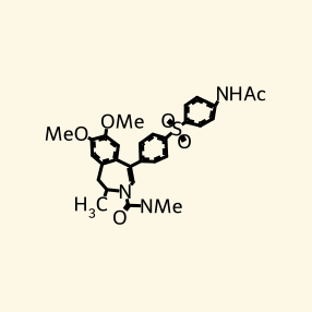 CNC(=O)N1C=C(c2ccc(S(=O)(=O)c3ccc(NC(C)=O)cc3)cc2)c2cc(OC)c(OC)cc2CC1C